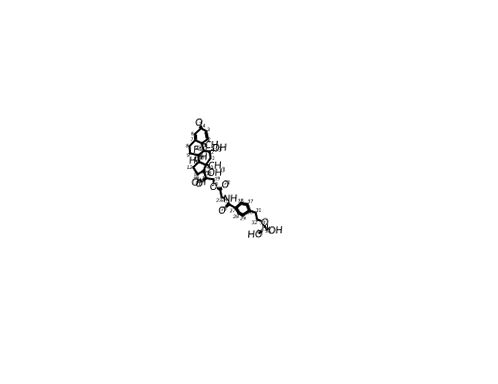 C[C@]12C=CC(=O)C=C1CC[C@H]1[C@@H]3C[C@@H](O)[C@](O)(C(=O)COC(=O)CNC(=O)c4ccc(CCON(O)O)cc4)[C@@]3(C)C[C@H](O)[C@@]12F